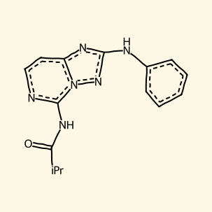 CC(C)C(=O)Nc1nccc2nc(Nc3ccccc3)nn12